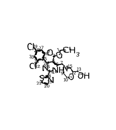 CCOC(=O)C1=C(CN2CCO[C@H](CO)C2)NC(c2nccs2)=NC1c1ccc(Cl)cc1Cl